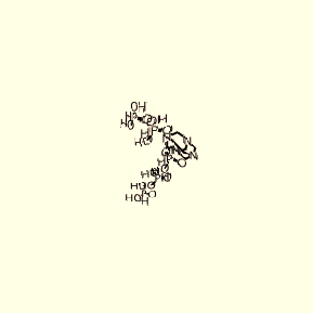 C1N2CN3CN1CN(C2)C3.O=[PH](O)O.O=[PH](O)O.O=[PH](O)O.O=[PH](O)O.O=[PH](O)O